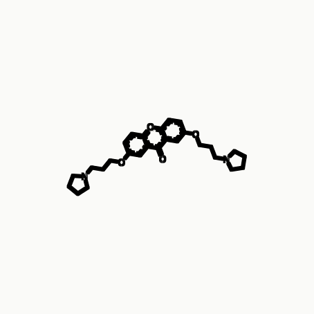 O=c1c2cc(OCCCN3CCCC3)ccc2oc2ccc(OCCCN3CCCC3)cc12